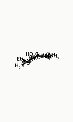 C=C(CC)CCC(=O)N[C@H](CCCCN)C(=O)NCCOCCNC(=O)CC[C@@H](NC(=O)c1ccc(NCc2cnc3nc(N)[nH]c(=O)c3n2)cc1)C(=O)O